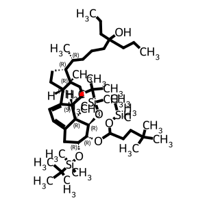 CCCC(O)(CCC)CCC[C@@H](C)[C@H]1CC[C@H]2C3=CC=C4C[C@@H](O[Si](C)(C)C(C)(C)C)[C@@H](OC(CCC(C)(C)C)O[SiH](C)C)[C@H](O[Si](C)(C)C(C)(C)C)[C@]4(C)[C@H]3CC[C@]12C